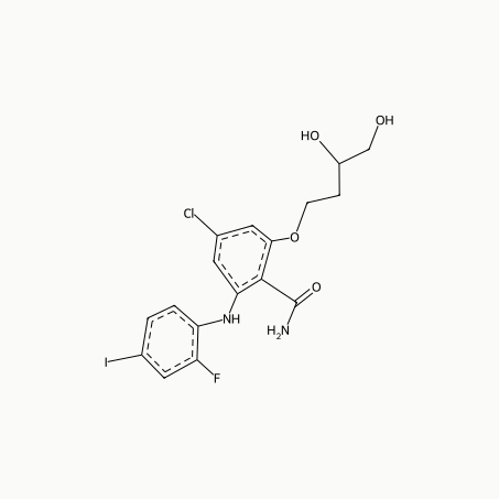 NC(=O)c1c(Nc2ccc(I)cc2F)cc(Cl)cc1OCCC(O)CO